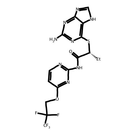 CC[C@@H](Sc1nc(N)nc2nc[nH]c12)C(=O)Nc1nccc(OCC(F)(F)C(F)(F)F)n1